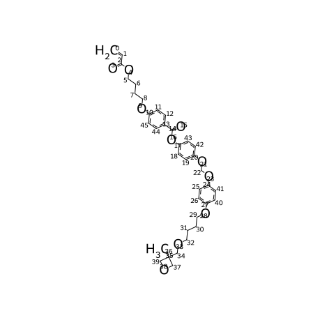 C=CC(=O)OCCCCOc1ccc(C(=O)Oc2ccc(OCOc3ccc(OCCCCOCC4(C)COC4)cc3)cc2)cc1